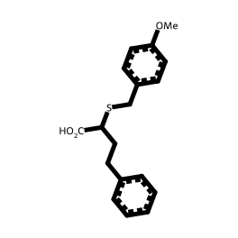 COc1ccc(CSC(CCc2ccccc2)C(=O)O)cc1